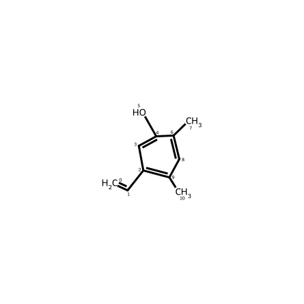 C=Cc1cc(O)c(C)cc1C